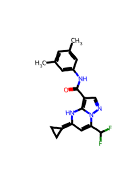 Cc1cc(C)cc(NC(=O)c2cnn3c2NC(=C2CC2)C=C3C(F)F)c1